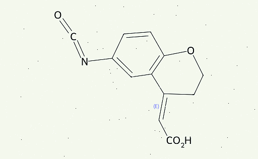 O=C=Nc1ccc2c(c1)/C(=C/C(=O)O)CCO2